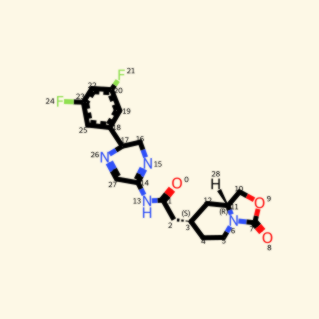 O=C(C[C@H]1CCN2C(=O)OC[C@H]2C1)NC1=NCC(c2cc(F)cc(F)c2)N=C1